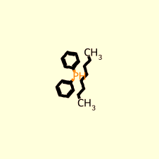 CCCCCCCC.c1ccc(Pc2ccccc2)cc1